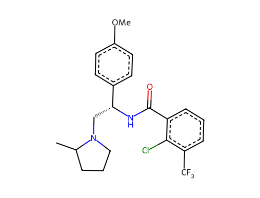 COc1ccc([C@@H](CN2CCCC2C)NC(=O)c2cccc(C(F)(F)F)c2Cl)cc1